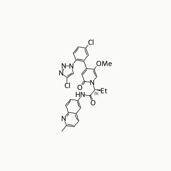 CC[C@@H](C(=O)Nc1ccc2nc(C)ccc2c1)n1cc(OC)c(-c2cc(Cl)ccc2-n2cc(Cl)nn2)cc1=O